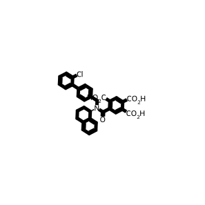 O=C(O)c1cc(C(=O)O)c(C(=O)N(Cc2ccc(-c3ccccc3Cl)cc2)[C@H]2CCCc3ccccc32)cc1C(=O)O